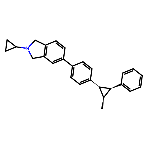 C[C@@H]1[C@H](c2ccccc2)[C@H]1c1ccc(-c2ccc3c(c2)CN(C2CC2)C3)cc1